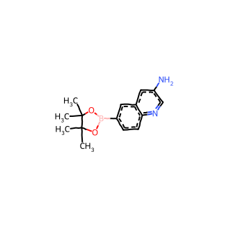 CC1(C)OB(c2ccc3ncc(N)cc3c2)OC1(C)C